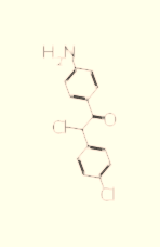 Nc1ccc(C(=O)C(Cl)c2ccc(Cl)cc2)cc1